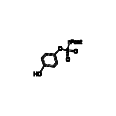 CCCCCS(=O)(=O)Oc1ccc(O)cc1